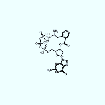 CC(N)Cc1ccccc1C(=O)O[C@@H]1C[C@H](n2cnc3c(=O)[nH]c(N)nc32)OC1COP(=O)(O)OP(=O)(O)OP(=O)(O)O